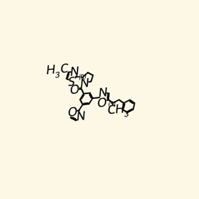 Cc1csc([C@H]2CCCN2C(=O)c2cc(-c3ncco3)cc(-c3ncc([C@@H](C)Cc4ccccc4)o3)c2)n1